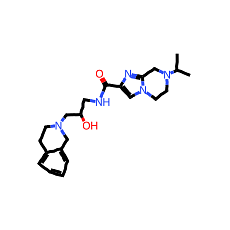 CC(C)N1CCn2cc(C(=O)NCC(O)CN3CCc4ccccc4C3)nc2C1